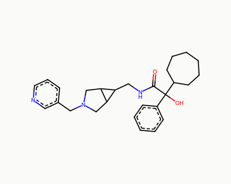 O=C(NCC1C2CN(Cc3cccnc3)CC12)C(O)(c1ccccc1)C1CCCCCC1